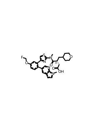 CN(C(=O)[C@@H](CC(=O)O)CC1CCOCC1)c1nc(-c2cc(OCF)ccc2-c2cnc3c(ccn3C)c2)cs1